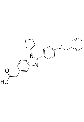 O=C(O)Cc1ccc2c(c1)nc(-c1ccc(OCc3ccccc3)cc1)n2C1CCCC1